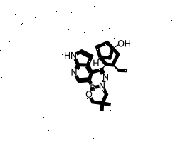 CC[C@@H]1C[C@]2(O)CC[C@@H](C2)[C@H]1C1=NN2CC(C)(C)COB2c2cnc3[nH]ccc3c21